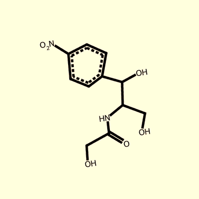 O=C(CO)NC(CO)C(O)c1ccc([N+](=O)[O-])cc1